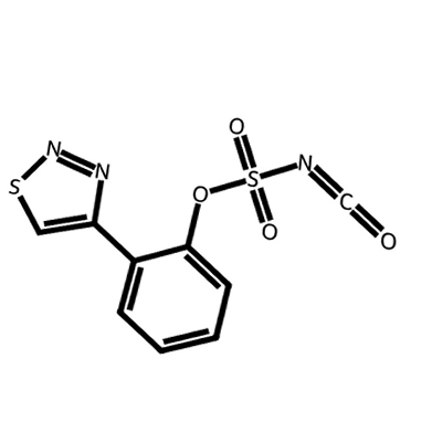 O=C=NS(=O)(=O)Oc1ccccc1-c1csnn1